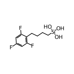 O[Si](O)(O)CCCCc1c(F)cc(F)cc1F